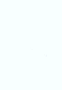 C=C(CI)N(C)C=N